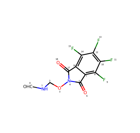 O=CNCON1C(=O)c2c(F)c(F)c(F)c(F)c2C1=O